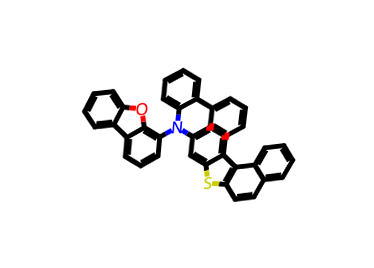 c1ccc(-c2ccccc2N(c2ccc3c(c2)sc2ccc4ccccc4c23)c2cccc3c2oc2ccccc23)cc1